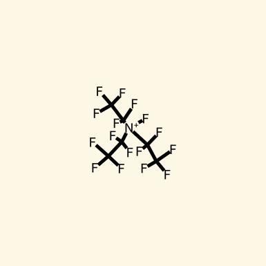 FC(F)(F)C(F)(F)[N+](F)(C(F)(F)C(F)(F)F)C(F)(F)C(F)(F)F